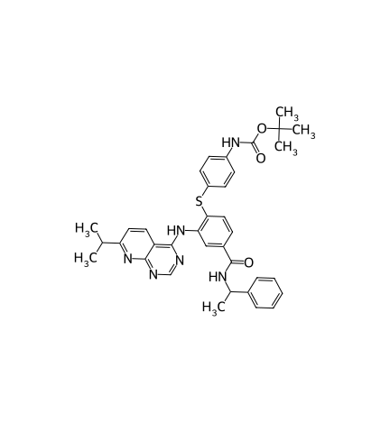 CC(C)c1ccc2c(Nc3cc(C(=O)NC(C)c4ccccc4)ccc3Sc3ccc(NC(=O)OC(C)(C)C)cc3)ncnc2n1